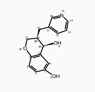 Oc1ccc2c(c1)[C@H](O)[C@H](Cc1cccnc1)CO2